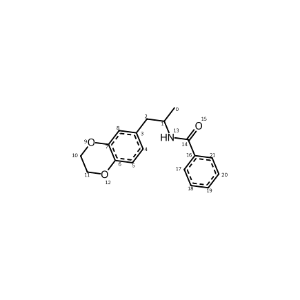 CC(Cc1ccc2c(c1)OCCO2)NC(=O)c1ccccc1